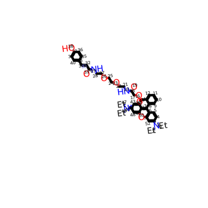 CCN(CC)c1ccc2c(-c3ccccc3C(=O)OCC(=O)NCCOCCOCCNC(=O)/C=C/c3ccc(O)cc3)c3ccc(=[N+](CC)CC)cc-3oc2c1